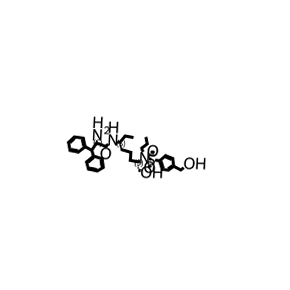 CCCN([C@H](CO)CCC[C@H](CC)NC(=O)[C@@H](N)C(c1ccccc1)c1ccccc1)S(=O)(=O)c1ccc(CO)cc1